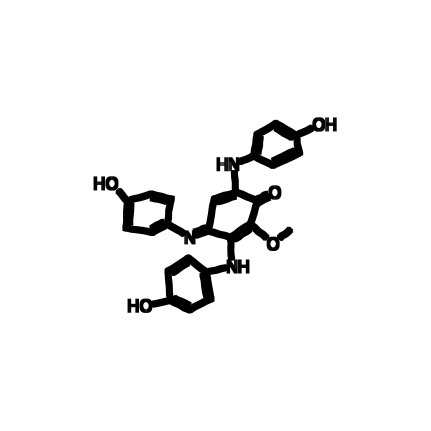 COC1=C(Nc2ccc(O)cc2)C(=Nc2ccc(O)cc2)C=C(Nc2ccc(O)cc2)C1=O